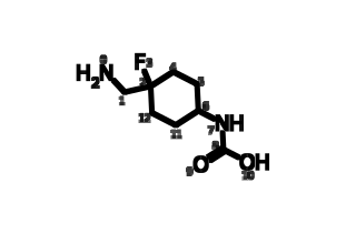 NCC1(F)CCC(NC(=O)O)CC1